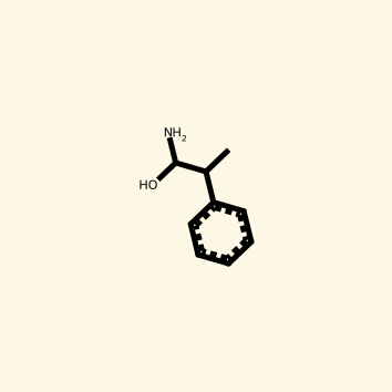 CC(c1ccccc1)C(N)O